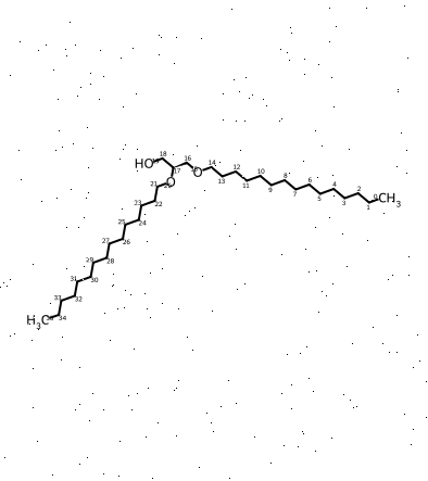 CCCCCCCCCCCCCCCOC[C@H](CO)OCCCCCCCCCCCCCCC